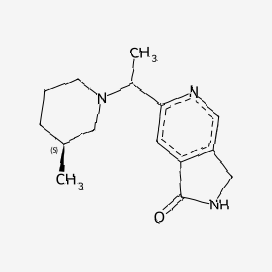 CC(c1cc2c(cn1)CNC2=O)N1CCC[C@H](C)C1